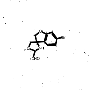 O=CC1NC2(COc3cc(Br)ccc32)CO1